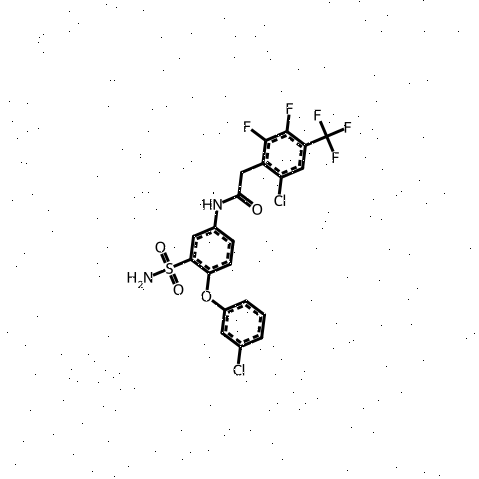 NS(=O)(=O)c1cc(NC(=O)Cc2c(Cl)cc(C(F)(F)F)c(F)c2F)ccc1Oc1cccc(Cl)c1